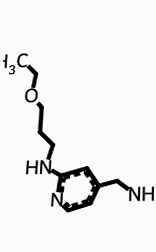 CCOCCCNc1cc(CN)ccn1